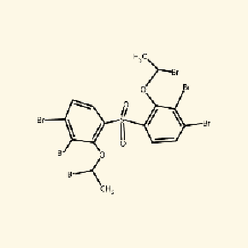 CC(Br)Oc1c(S(=O)(=O)c2ccc(Br)c(Br)c2OC(C)Br)ccc(Br)c1Br